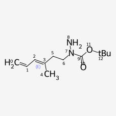 C=C/C=C(\C)CCN(N)C(=O)OC(C)(C)C